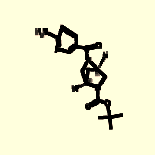 CC(C)(C)OC(=O)N1C[C@H]2C[C@@H]1CN2C(=O)c1ccc(N)nc1